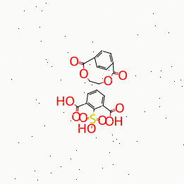 O=C(O)c1cccc(C(=O)O)c1S(=O)(=O)O.O=C1OCCOC(=O)c2ccc1cc2